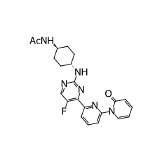 CC(=O)N[C@H]1CC[C@H](Nc2ncc(F)c(-c3cccc(-n4ccccc4=O)n3)n2)CC1